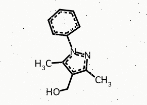 Cc1nn(-c2ccccc2)c(C)c1CO